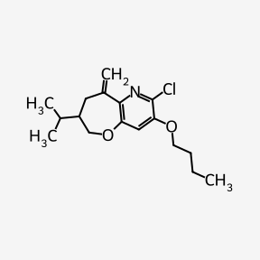 C=C1CC(C(C)C)COc2cc(OCCCC)c(Cl)nc21